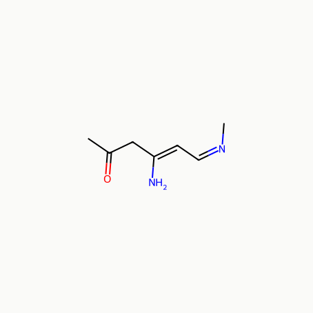 C/N=C\C=C(/N)CC(C)=O